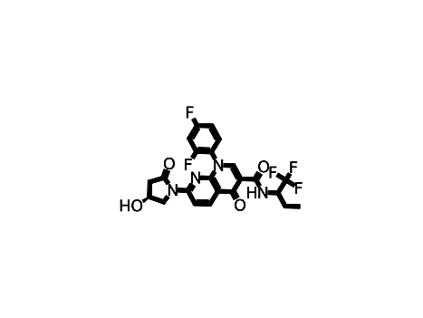 CCC(NC(=O)c1cn(-c2ccc(F)cc2F)c2nc(N3C[C@@H](O)CC3=O)ccc2c1=O)C(F)(F)F